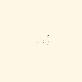 [CH2]c1ccc(OC(=O)CCC)c([N+](=O)[O-])c1